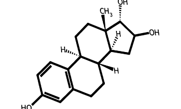 C[C@]12CC[C@@H]3c4ccc(O)cc4CC[C@H]3[C@@H]1CC(O)[C@H]2O